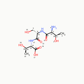 C[C@@H](O)[C@H](N)C(=O)N[C@@H](CO)C(=O)N[C@H](C(=O)O)[C@@H](C)O